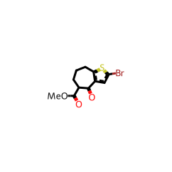 COC(=O)C1CCCc2sc(Br)cc2C1=O